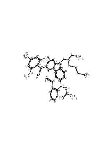 CCCCC(CC)Cn1c2ccc(C(=O)c3c(C)cc(C)cc3C)cc2c2cc(C(OC(C)=O)c3ccccc3C=N)ccc21